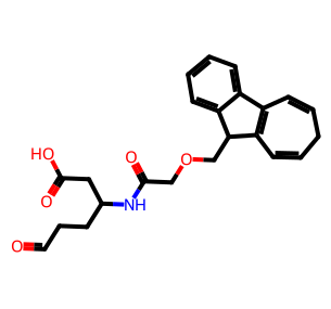 O=CCCC(CC(=O)O)NC(=O)COCC1C2=C(C=CCC=C2)c2ccccc21